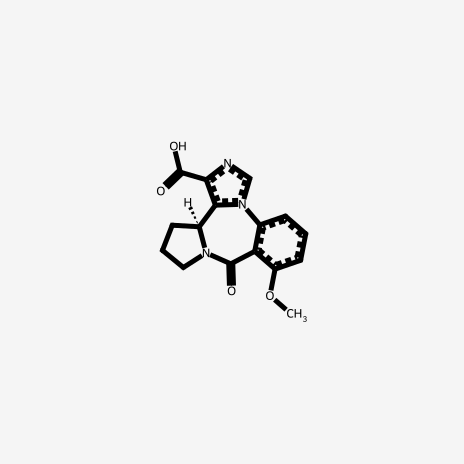 COc1cccc2c1C(=O)N1CCC[C@H]1c1c(C(=O)O)ncn1-2